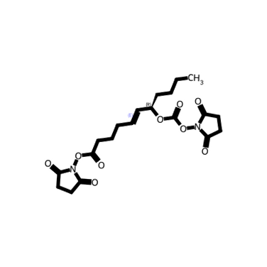 CCCC[C@H](/C=C/CCCC(=O)ON1C(=O)CCC1=O)OC(=O)ON1C(=O)CCC1=O